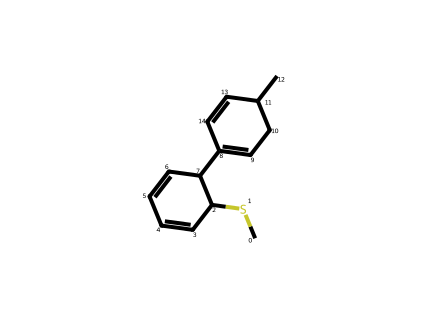 CSC1C=CC=CC1C1=CCC(C)C=C1